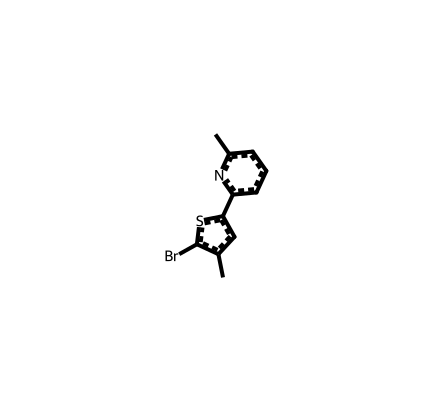 Cc1cccc(-c2cc(C)c(Br)s2)n1